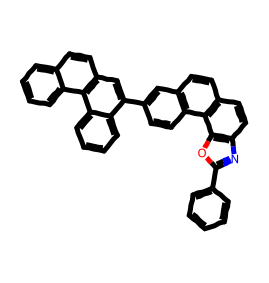 c1ccc(-c2nc3ccc4ccc5cc(-c6cc7ccc8ccccc8c7c7ccccc67)ccc5c4c3o2)cc1